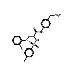 CCOC(=O)Cc1ccc(NC(=O)C(COc2ccccc2Cl)NS(=O)(=O)c2ccc(I)cc2)cc1